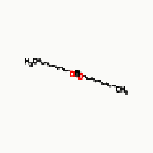 CCCCCCCCCCO[B]OCCCCCCCCCC